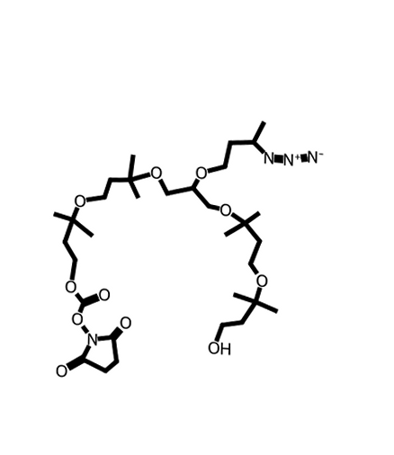 CC(CCOC(COC(C)(C)CCOC(C)(C)CCO)COC(C)(C)CCOC(C)(C)CCOC(=O)ON1C(=O)CCC1=O)N=[N+]=[N-]